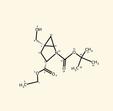 CCOC(=O)[C@@H]1C[C@@]2(CO)CC2N1C(=O)OC(C)(C)C